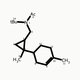 CC(=O)N(CC1CC1(C)C1CC=C(C)CC1)C(C)(C)C